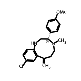 C=C1CCN(C)[C@@H](c2ccc(OC)cc2)CNc2ccc(Cl)cc21